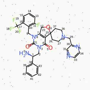 N[C@@H](Cn1c(=O)c2c(n(Cc3c(F)cccc3C(F)(F)F)c1=O)COC21CCN(Cc2cnccn2)CC1)c1ccccc1